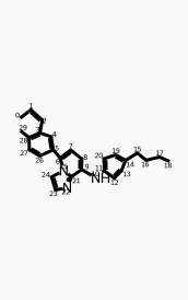 C/C=C\c1cc(-c2ccc(Nc3ccc(CCCC)cc3)c3nccn23)ccc1C